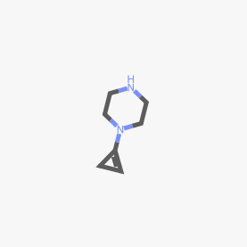 C1=C(N2CCNCC2)C1